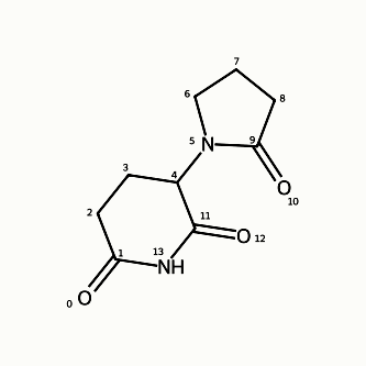 O=C1CCC(N2CCCC2=O)C(=O)N1